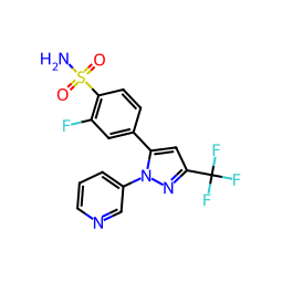 NS(=O)(=O)c1ccc(-c2cc(C(F)(F)F)nn2-c2cccnc2)cc1F